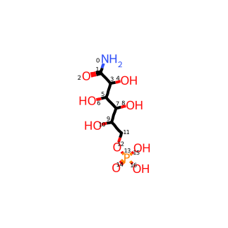 NC(=O)C(O)C(O)C(O)C(O)COP(=O)(O)O